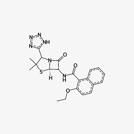 CCOc1ccc2ccccc2c1C(=O)NC1C(=O)N2C(c3nnn[nH]3)C(C)(C)S[C@H]12